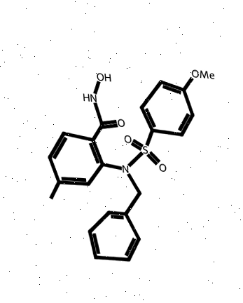 COc1ccc(S(=O)(=O)N(Cc2ccccc2)c2cc(C)ccc2C(=O)NO)cc1